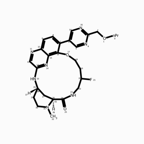 CCCOCc1ncc(-c2ccc3ncc4nc3c2OCCC(F)CNC(=O)[C@@H]2C[C@H](CCN2C)N4)cn1